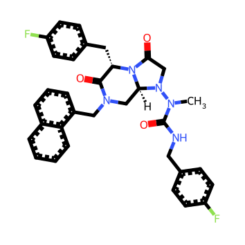 CN(C(=O)NCc1ccc(F)cc1)N1CC(=O)N2[C@@H](Cc3ccc(F)cc3)C(=O)N(Cc3cccc4ccccc34)C[C@@H]21